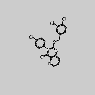 O=c1c2ncccc2nc(SCc2ccc(Cl)c(Cl)c2)n1-c1ccc(Cl)cc1